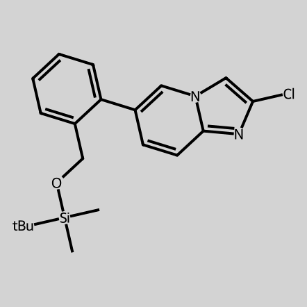 CC(C)(C)[Si](C)(C)OCc1ccccc1-c1ccc2nc(Cl)cn2c1